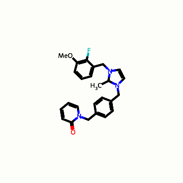 COc1cccc(CN2C=CN(Cc3ccc(Cn4ccccc4=O)cc3)C2C)c1F